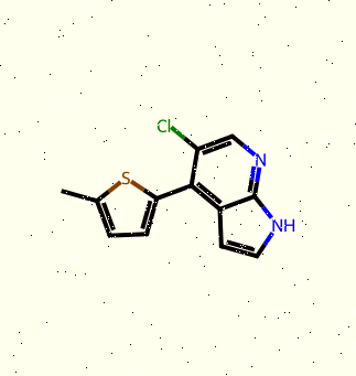 Cc1ccc(-c2c(Cl)cnc3[nH]ccc23)s1